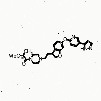 CO[C@H](C)C(=O)N1CCN(CCC2COc3cc(Oc4ccc(-c5ccn[nH]5)cn4)ccc32)CC1